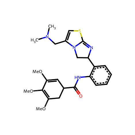 COC1=CC(C(=O)Nc2ccccc2C2CN3C(CN(C)C)=CSC3=N2)CC(OC)=C1OC